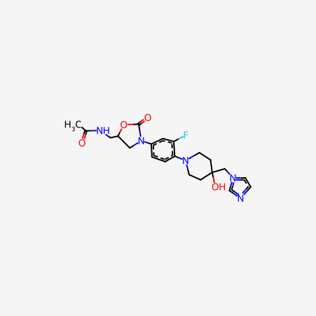 CC(=O)NCC1CN(c2ccc(N3CCC(O)(Cn4ccnc4)CC3)c(F)c2)C(=O)O1